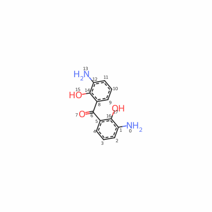 Nc1cccc(C(=O)c2cccc(N)c2O)c1O